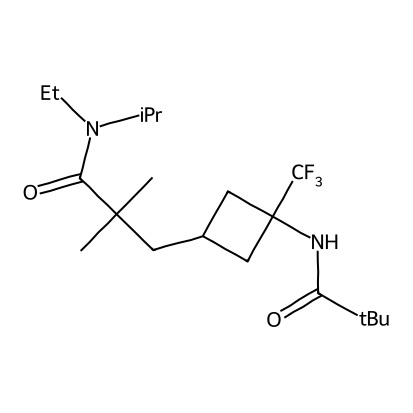 CCN(C(=O)C(C)(C)CC1CC(NC(=O)C(C)(C)C)(C(F)(F)F)C1)C(C)C